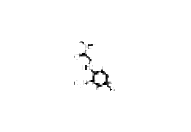 CN(C)C(=O)CNc1ccc(Br)cc1[N+](=O)[O-]